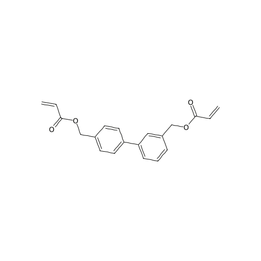 C=CC(=O)OCc1ccc(-c2cccc(COC(=O)C=C)c2)cc1